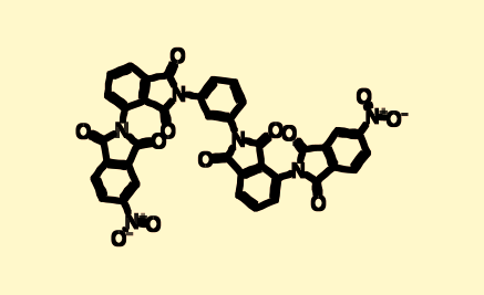 O=C1c2cccc(N3C(=O)c4ccc([N+](=O)[O-])cc4C3=O)c2C(=O)N1c1cccc(N2C(=O)c3cccc(N4C(=O)c5ccc([N+](=O)[O-])cc5C4=O)c3C2=O)c1